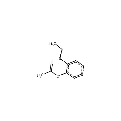 CSSc1ccccc1OC(C)=O